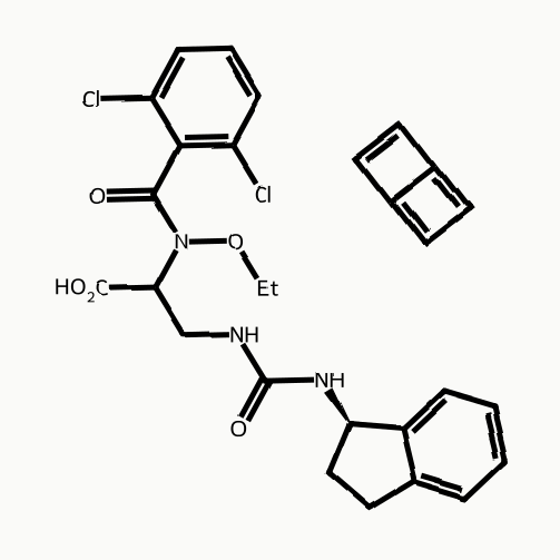 CCON(C(=O)c1c(Cl)cccc1Cl)C(CNC(=O)N[C@@H]1CCc2ccccc21)C(=O)O.c1cc2ccc1-2